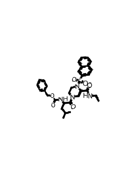 CCNC(=O)C1CN(C(=O)C(CC(C)C)NC(=O)OCc2ccccc2)CCN1S(=O)(=O)c1ccc2ccccc2c1